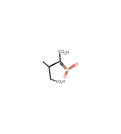 CC(CC(=O)O)C(C(=O)O)=S(=O)=O